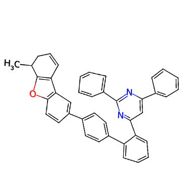 CC1CC=Cc2c1oc1ccc(-c3ccc(-c4ccccc4-c4cc(-c5ccccc5)nc(-c5ccccc5)n4)cc3)cc21